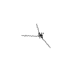 CCCCCCCCCCCCCCCCc1n(CCCCCCCCCCCCC)cc[n+]1CCCCCCCCCC